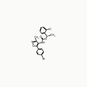 Cc1noc(-c2ccc(Br)cc2)c1NC(=O)O[C@H](C)c1ccccc1Cl